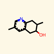 Cc1cnc2c(c1)CC(O)C(C)C2